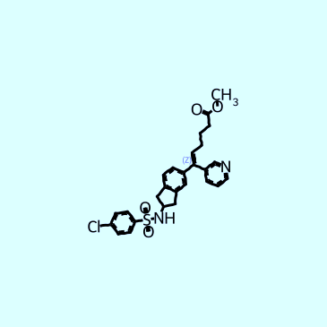 COC(=O)CCC/C=C(\c1cccnc1)c1ccc2c(c1)CC(NS(=O)(=O)c1ccc(Cl)cc1)C2